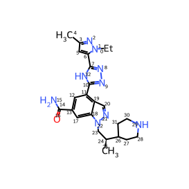 CCn1nc(C)cc1-c1nnc(-c2cc(C(N)=O)cc3c2cnn3C[C@H](C)C2CCNCC2)[nH]1